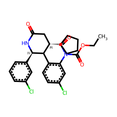 CCOC(=O)N(C=O)c1cc(Cl)ccc1C1[C@@H](C2CCCC2)CC(=O)N[C@@H]1c1cccc(Cl)c1